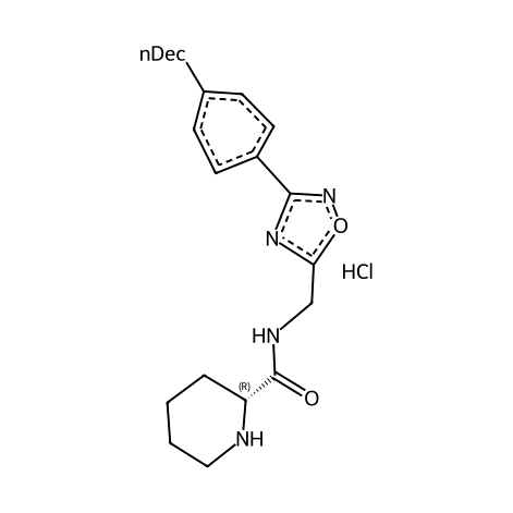 CCCCCCCCCCc1ccc(-c2noc(CNC(=O)[C@H]3CCCCN3)n2)cc1.Cl